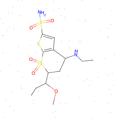 CCNC1CC(C(CC)OC)S(=O)(=O)c2sc(S(N)(=O)=O)cc21